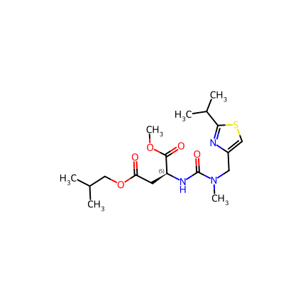 COC(=O)[C@H](CC(=O)OCC(C)C)NC(=O)N(C)Cc1csc(C(C)C)n1